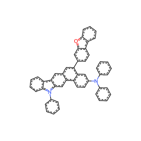 c1ccc(N(c2ccccc2)c2ccc3c(c2)c(-c2ccc4c(c2)oc2ccccc24)cc2cc4c5ccccc5n(-c5ccccc5)c4cc23)cc1